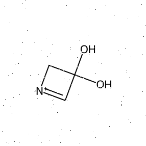 OC1(O)C=[N+]C1